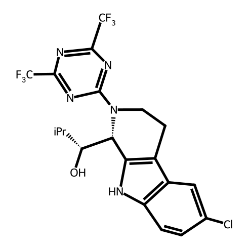 CC(C)[C@@H](O)[C@H]1c2[nH]c3ccc(Cl)cc3c2CCN1c1nc(C(F)(F)F)nc(C(F)(F)F)n1